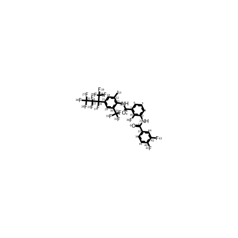 O=C(Nc1cccc(C(=O)Nc2c(I)cc(C(F)(C(F)(F)F)C(F)(F)C(F)(F)F)cc2C(F)(F)F)c1F)c1ccc(F)c(F)c1